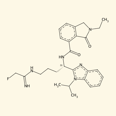 CCN1Cc2cccc(C(=O)N[C@@H](CCCNC(=N)CF)c3nc4ccccc4n3C(C)C)c2C1=O